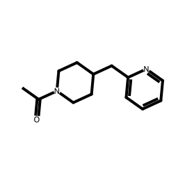 CC(=O)N1CCC(Cc2ccccn2)CC1